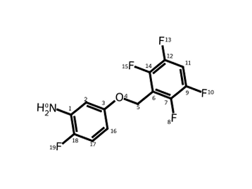 Nc1cc(OCc2c(F)c(F)cc(F)c2F)ccc1F